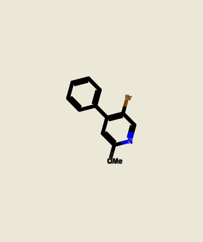 COc1cc(-c2ccccc2)c(Br)cn1